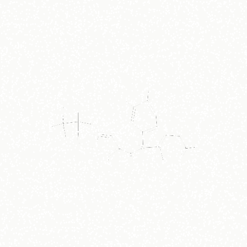 Cc1c(CC(=O)O)c2cc(O)c(F)cc2n1Cc1csc(OC(F)(F)C(F)(F)F)c1